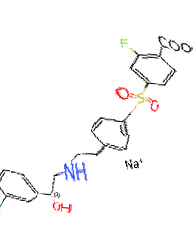 O=C([O-])c1ccc(S(=O)(=O)c2ccc(CCNC[C@H](O)c3cccc(Cl)c3)cc2)cc1F.[Na+]